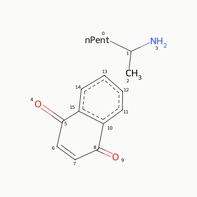 CCCCCC(C)N.O=C1C=CC(=O)c2ccccc21